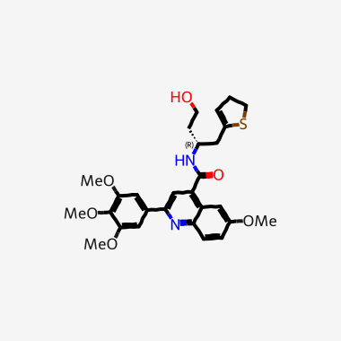 COc1ccc2nc(-c3cc(OC)c(OC)c(OC)c3)cc(C(=O)N[C@H](CCO)CC3=CCCS3)c2c1